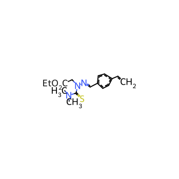 C=Cc1ccc(C=NN(CC(=O)OCC)C(=S)N(C)C)cc1